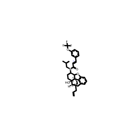 C=CCN1CC[C@]23c4c5cccc4OC2C(N(CC(C)C)C(=O)/C=C/c2cccc(OC(F)(F)F)c2)CC[C@@]3(O)[C@H]1C5